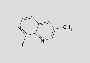 Cc1cnc2c(I)nccc2c1